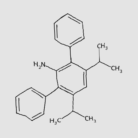 CC(C)c1cc(C(C)C)c(-c2ccccc2)c(N)c1-c1ccccc1